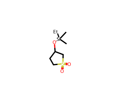 CC[Si](C)(C)OC1CCS(=O)(=O)C1